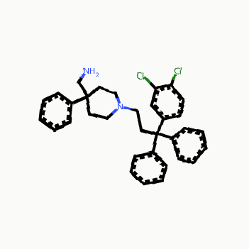 NCC1(c2ccccc2)CCN(CCC(c2ccccc2)(c2ccccc2)c2ccc(Cl)c(Cl)c2)CC1